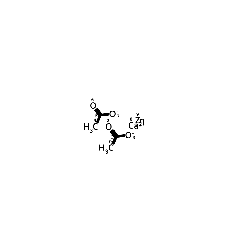 CC(=O)[O-].CC(=O)[O-].[Ca+2].[Zn]